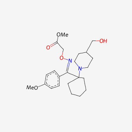 COC(=O)CON=C(c1ccc(OC)cc1)C1(N2CCC(CO)CC2)CCCCC1